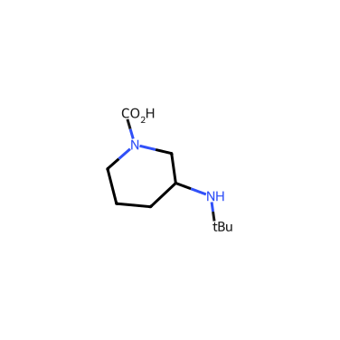 CC(C)(C)NC1CCCN(C(=O)O)C1